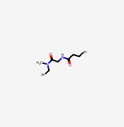 CC(C)CCC(=O)NCC(=O)N(C)CC(C)C